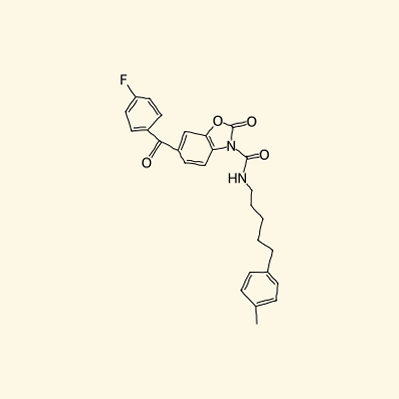 Cc1ccc(CCCCCNC(=O)n2c(=O)oc3cc(C(=O)c4ccc(F)cc4)ccc32)cc1